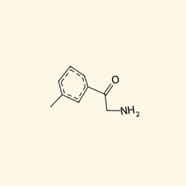 Cc1cccc(C(=O)CN)c1